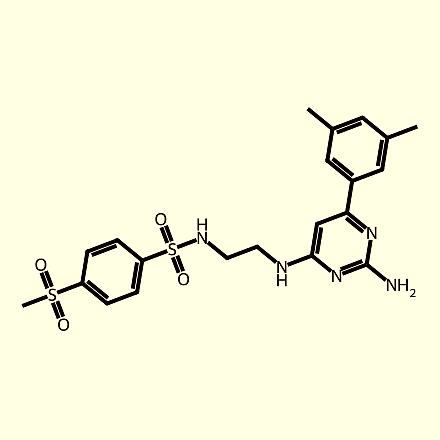 Cc1cc(C)cc(-c2cc(NCCNS(=O)(=O)c3ccc(S(C)(=O)=O)cc3)nc(N)n2)c1